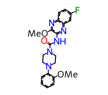 COc1ccccc1N1CCN(C(=O)Nc2nc3cc(F)ccc3nc2OC)CC1